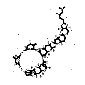 C=C1C[C@@H]2CC[C@@]34CC5O[C@H]6[C@@H](O3)[C@H]3O[C@H](CC[C@@H]3O[C@H]6C5O4)CC(=O)O[C@@H]3[C@@H](C)[C@@H]4O[C@@H]5C[C@]6(C[C@@H]7O[C@]8(C[C@H](C)[C@@H]9O[C@H]([C@@H](C)C[C@@H](C)CN(C)C)C[C@@H]9O8)C[C@H](C)[C@@H]7O6)O[C@@H]5C[C@@H]4O[C@H]3C[C@H]3O[C@@H](CC[C@@H]1O2)C[C@@H](C)C3=C